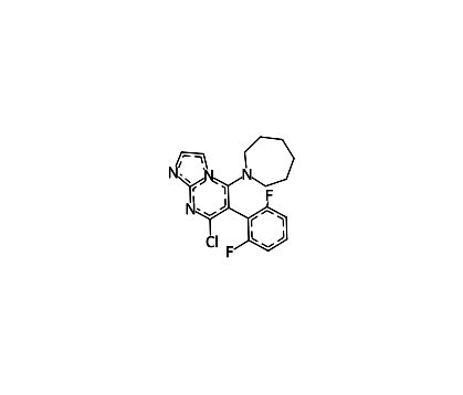 Fc1cccc(F)c1-c1c(Cl)nc2nccn2c1N1CCCCCC1